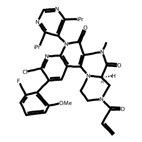 C=CC(=O)N1CCN2c3c(c(=O)n(-c4c(C(C)C)ncnc4C(C)C)c4nc(Cl)c(-c5c(F)cccc5OC)cc34)N(C)C(=O)[C@H]2C1